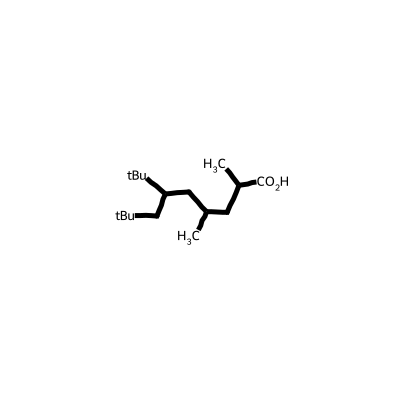 CC(CC(C)C(=O)O)CC(CC(C)(C)C)C(C)(C)C